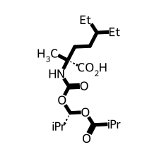 CCC(CC)CC[C@](C)(NC(=O)O[C@H](OC(=O)C(C)C)C(C)C)C(=O)O